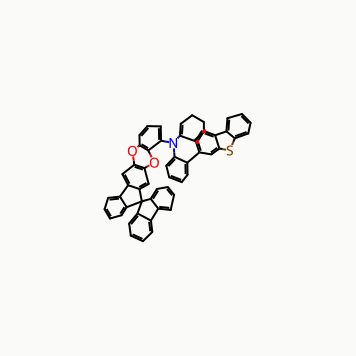 C1=CC(N(c2ccccc2-c2ccc3c(c2)sc2ccccc23)c2cccc3c2Oc2cc4c(cc2O3)-c2ccccc2C42c3ccccc3-c3ccccc32)=CCC1